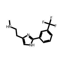 CNCCc1c[nH]c(-c2cccc(C(F)(F)F)c2)n1